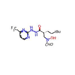 CC(C)(C)CC[C@H](CN(O)C=O)C(=O)NNc1nccc(C(F)(F)F)n1